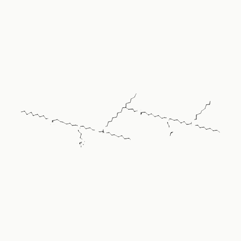 CCCCCCCCCOC(=O)CCCCCCCN(CCCCCCC(OCCCCCCCC)OCCCCCCCCC(CCCCC)CCCOC(=O)CCCCCCCN(CCCCCCC(OCCCCCCCC)OCCCCCCCC)CCOC(C)=O)CCCNS(C)(=O)=O